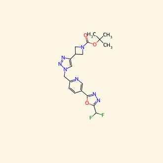 CC(C)(C)OC(=O)N1CC(c2cn(Cc3ccc(-c4nnc(C(F)F)o4)cn3)nn2)C1